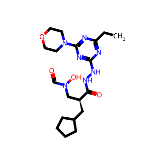 CCc1nc(NNC(=O)[C@@H](CC2CCCC2)CN(O)C=O)nc(N2CCOCC2)n1